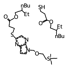 CCCCC(CC)COC(=O)CCS.CCCCC(CC)COC(=O)CCSc1cnc2c(ccn2COCC[Si](C)(C)C)n1